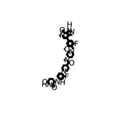 COc1cc(-c2cn(C)c(=O)c3[nH]ncc23)cc(F)c1CN1CCC(N(C)C(=O)C2CCN(c3ccc(NC4CCC(=O)NC4=O)cc3F)CC2)CC1